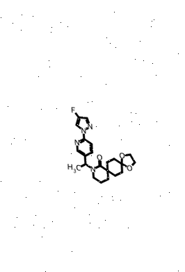 CC(c1ccc(-n2cc(F)cn2)nc1)N1CCCC2(CCC3(CC2)OCCO3)C1=O